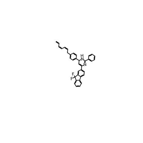 C=C/C=C\C=C/Cc1ccc(C2C=C(c3ccc4c(c3)C(F)(F)c3ccccc3-4)N=C(c3ccccc3)N2)cc1